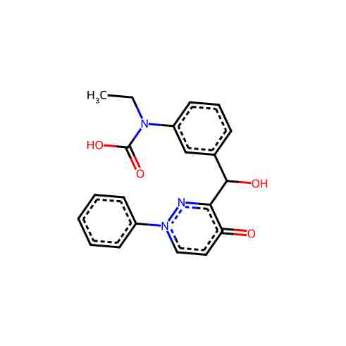 CCN(C(=O)O)c1cccc(C(O)c2nn(-c3ccccc3)ccc2=O)c1